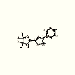 CC1(C)OB(C2=CN(c3ccccn3)NC2)OC1(C)C